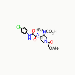 COCC(=O)N1CC[C@H](NC(=O)C(=O)Nc2ccc(Cl)cc2)[C@H](N(C(=O)O)C(C)(C)C)C1